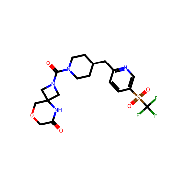 O=C1COCC2(CN(C(=O)N3CCC(Cc4ccc(S(=O)(=O)C(F)(F)F)cn4)CC3)C2)N1